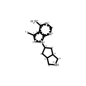 Nc1ncnc2c1c(I)nn2C1CC2CNCC2C1